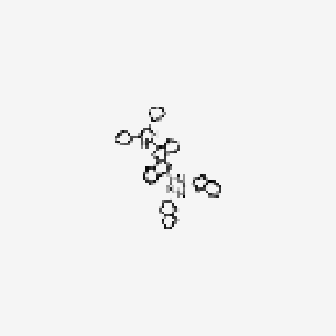 c1ccc(-c2cc(-c3ccccc3)nc(-c3cc4c5ccccc5c(-c5nc(-c6ccc7ccccc7c6)nc(-c6ccc7ccccc7c6)n5)cc4c4ccccc34)n2)cc1